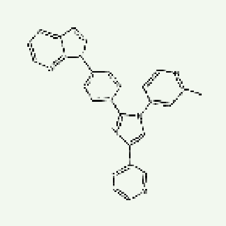 Cc1cc(-n2cc(-c3cccnc3)nc2-c2ccc(-n3ccc4cccnc43)cc2)ccn1